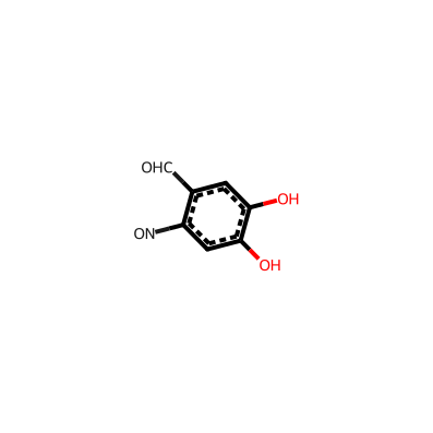 O=Cc1cc(O)c(O)cc1N=O